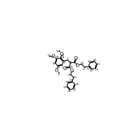 COc1cc(CC(C(=O)OCCc2ccccc2)C(=O)OCCc2ccccc2)c(OC)c(OC)c1